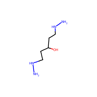 NNCCC(O)CCNN